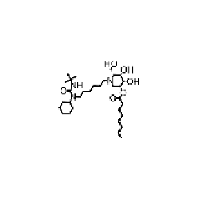 CCCCCCCC(=O)O[C@H]1CN(CCCCCCN(C(=O)NC(C)(C)C)C2CCCCC2)[C@H](CO)[C@@H](O)[C@@H]1O